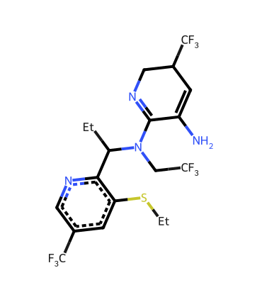 CCSc1cc(C(F)(F)F)cnc1C(CC)N(CC(F)(F)F)C1=NCC(C(F)(F)F)C=C1N